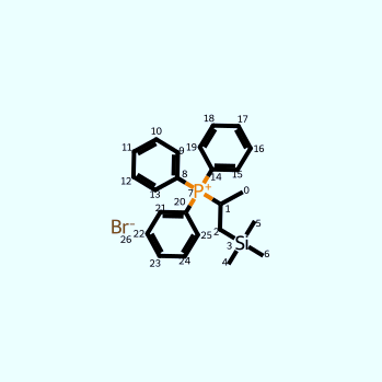 CC(C[Si](C)(C)C)[P+](c1ccccc1)(c1ccccc1)c1ccccc1.[Br-]